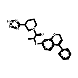 CC(Oc1ccc2c(c1)OCC=C2c1ccccc1)C(=O)N1CCCC(c2nn[nH]n2)C1